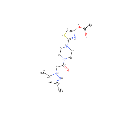 CCC(=O)Oc1csc(N2CCN(C(=O)Cn3nc(C(F)(F)F)cc3C)CC2)n1